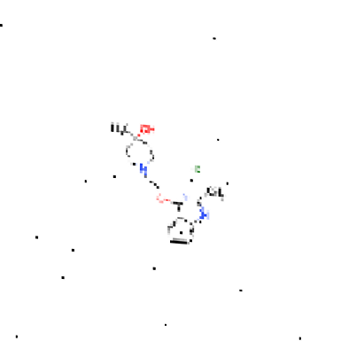 Cc1nc(OCCN2CCC(C)(O)CC2)c2ccccc2n1.Cl